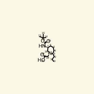 CCCC1CCC[C@H](NC(=O)OC(C)(C)C)CN1CC(=O)O